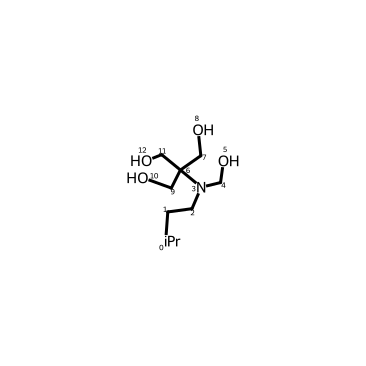 CC(C)CCN(CO)C(CO)(CO)CO